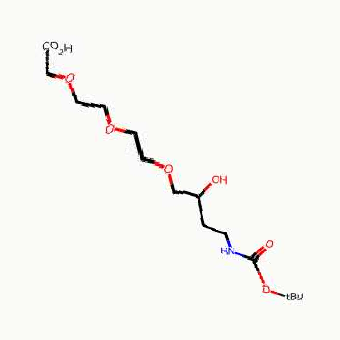 CC(C)(C)OC(=O)NCCC(O)COCCOCCOCC(=O)O